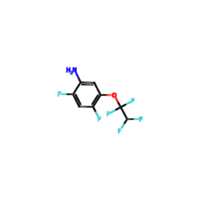 Nc1cc(OC(F)(F)C(F)F)c(F)cc1F